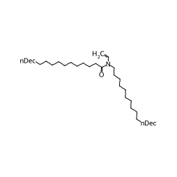 C=CN(CCCCCCCCCCCCCCCCCCCC)C(=O)CCCCCCCCCCCCCCCCCCCC